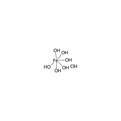 Cl.[OH][Fe]([OH])([OH])([OH])([OH])[OH]